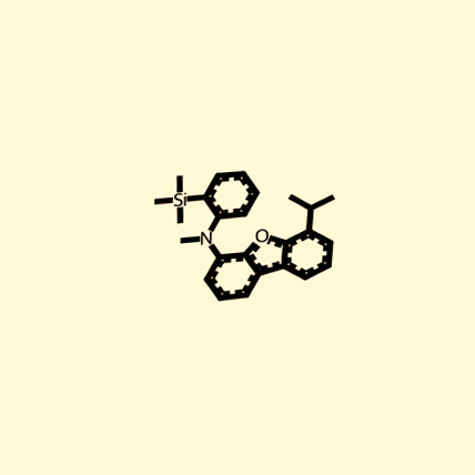 CC(C)c1cccc2c1oc1c(N(C)c3ccccc3[Si](C)(C)C)cccc12